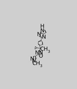 Cn1cc(-c2nc(C(C)(c3ccc(-c4cnc5[nH]ccc5n4)cc3)C3CC3)no2)cn1